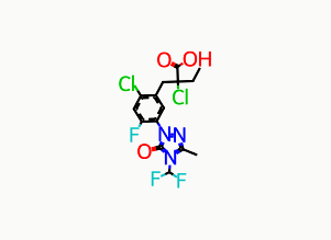 CCC(Cl)(Cc1cc(-n2nc(C)n(C(F)F)c2=O)c(F)cc1Cl)C(=O)O